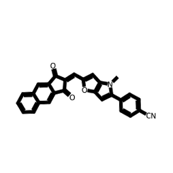 Cn1c(-c2ccc(C#N)cc2)cc2oc(C=C3C(=O)c4cc5ccccc5cc4C3=O)cc21